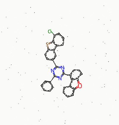 Clc1cccc2c1sc1ccc(-c3nc(-c4ccccc4)nc(-c4cccc5oc6ccccc6c45)n3)cc12